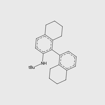 CC(C)(C)Nc1ccc2c(c1-c1cccc3c1CCCC3)CCCC2